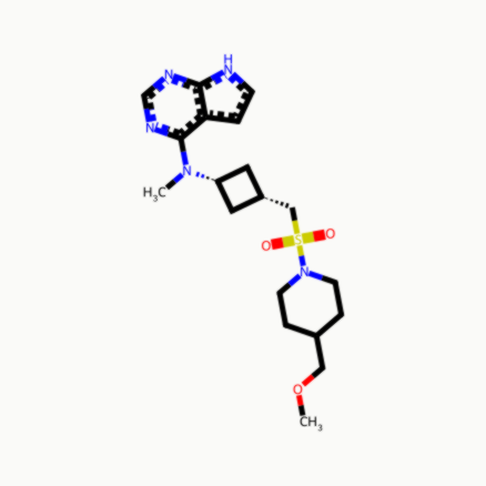 COCC1CCN(S(=O)(=O)C[C@H]2C[C@@H](N(C)c3ncnc4[nH]ccc34)C2)CC1